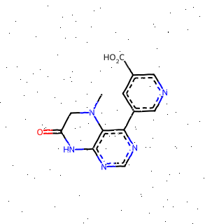 CN1CC(=O)Nc2ncnc(-c3cncc(C(=O)O)c3)c21